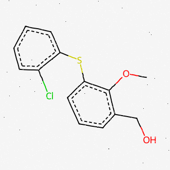 COc1c(CO)cccc1Sc1ccccc1Cl